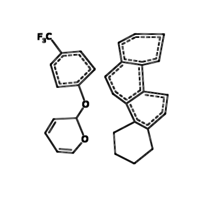 FC(F)(F)c1ccc(OC2C=CC=CO2)cc1.c1ccc2c(c1)ccc1c3c(ccc12)CCCC3